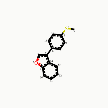 CSc1ccc(-c2coc3ccccc23)cc1